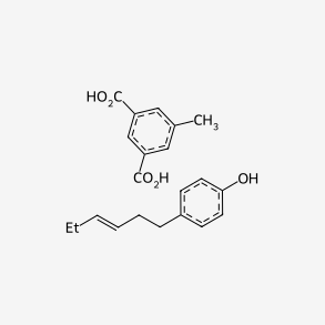 CCC=CCCc1ccc(O)cc1.Cc1cc(C(=O)O)cc(C(=O)O)c1